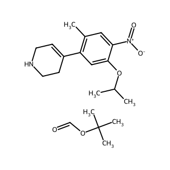 CC(C)(C)OC=O.Cc1cc([N+](=O)[O-])c(OC(C)C)cc1C1=CCNCC1